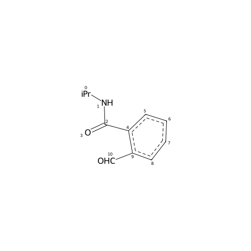 CC(C)NC(=O)c1ccccc1C=O